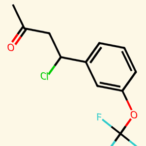 CC(=O)CC(Cl)c1cccc(OC(F)(F)F)c1